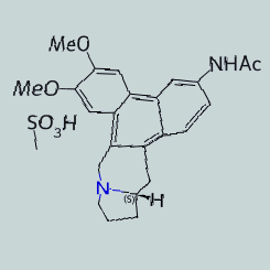 COc1cc2c3c(c4ccc(NC(C)=O)cc4c2cc1OC)C[C@@H]1CCCN1C3.CS(=O)(=O)O